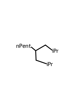 CCCCCC(CC(C)C)CC(C)C